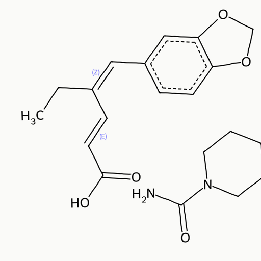 CCC(=C/c1ccc2c(c1)OCO2)/C=C/C(=O)O.NC(=O)N1CCCCC1